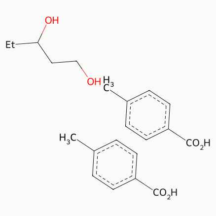 CCC(O)CCO.Cc1ccc(C(=O)O)cc1.Cc1ccc(C(=O)O)cc1